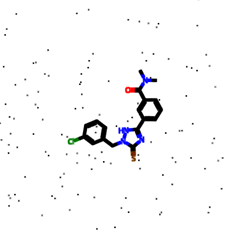 CN(C)C(=O)c1cccc(-c2nc(=S)n(Cc3cccc(Cl)c3)[nH]2)c1